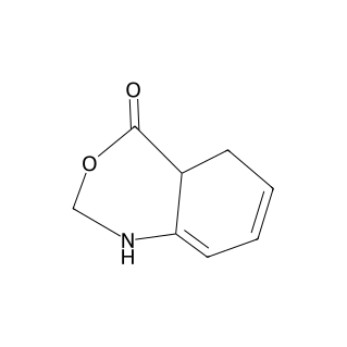 O=C1OCNC2=CC=CCC12